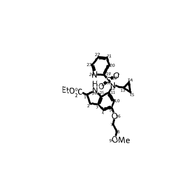 CCOC(=O)C1Cc2cc(OCCOC)cc(N(C3CC3)S(=O)(=O)c3ccccn3)c2N1